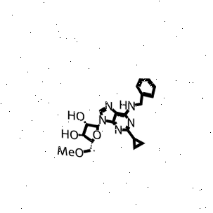 CO[CH][C@H]1O[C@@H](n2cnc3c(NCc4ccccc4)nc(C4CC4)nc32)[C@H](O)[C@@H]1O